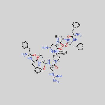 CC(C)C[C@@H](NC(=O)[C@@H](Cc1ccccc1)NC(=O)[C@H](N)Cc1ccccc1)C(=O)N[C@H](CC(=N)N)C(=O)NC1(C(=O)O)CCN(C(=O)[C@@H](CCNC(=N)N)NC(=O)[C@@H](CC(C)C)NC(=O)[C@@H](Cc2ccccc2)NC(=O)[C@H](N)Cc2ccccc2)CC1